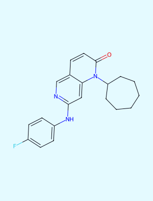 O=c1ccc2cnc(Nc3ccc(F)cc3)cc2n1C1CCCCCC1